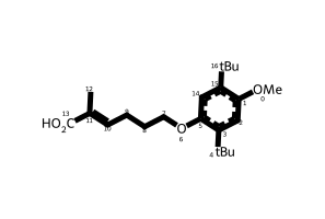 COc1cc(C(C)(C)C)c(OCCC/C=C(\C)C(=O)O)cc1C(C)(C)C